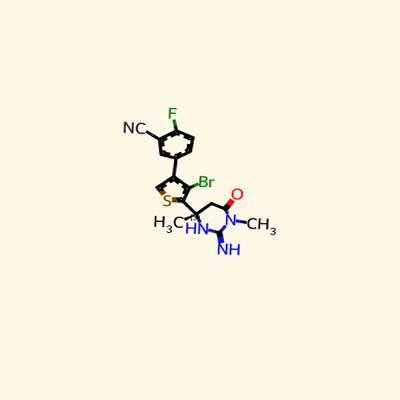 CN1C(=N)N[C@](C)(c2scc(-c3ccc(F)c(C#N)c3)c2Br)CC1=O